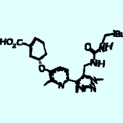 CCC(C)CNC(=O)NCc1c(-c2ccc(O[C@H]3CCC[C@H](C(=O)O)C3)c(C)n2)nnn1C